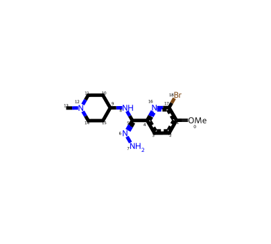 COc1ccc(/C(=N\N)NC2CCN(C)CC2)nc1Br